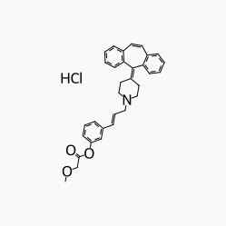 COCC(=O)Oc1cccc(C=CCN2CCC(=C3c4ccccc4C=Cc4ccccc43)CC2)c1.Cl